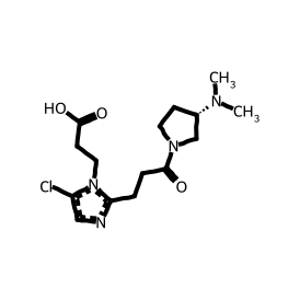 CN(C)[C@H]1CCN(C(=O)CCc2ncc(Cl)n2CCC(=O)O)C1